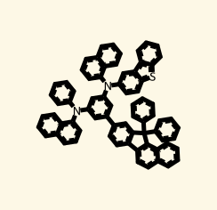 c1ccc(N(c2cc(-c3ccc4c(c3)C(c3ccccc3)(c3ccccc3)c3c-4ccc4ccccc34)cc(N(c3ccc4sc5ccccc5c4c3)c3cccc4ccccc34)c2)c2cccc3ccccc23)cc1